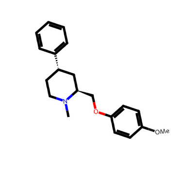 COc1ccc(OC[C@@H]2C[C@@H](c3ccccc3)CCN2C)cc1